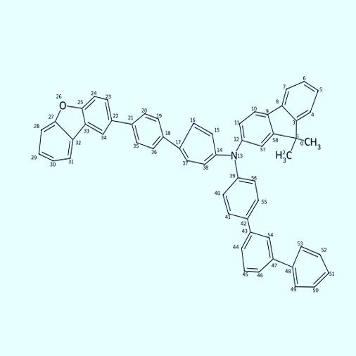 CC1(C)c2ccccc2-c2ccc(N(c3ccc(-c4ccc(-c5ccc6oc7ccccc7c6c5)cc4)cc3)c3ccc(-c4cccc(-c5ccccc5)c4)cc3)cc21